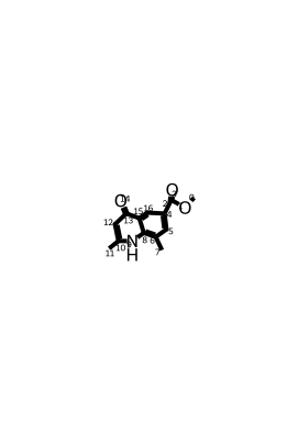 COC(=O)c1cc(C)c2[nH]c(C)cc(=O)c2c1